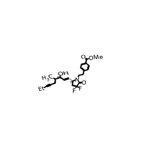 CCC#CCC(C)[C@@H](O)C=C[C@H]1CC(F)(F)C(=O)N1CCc1ccc(C(=O)OC)cc1